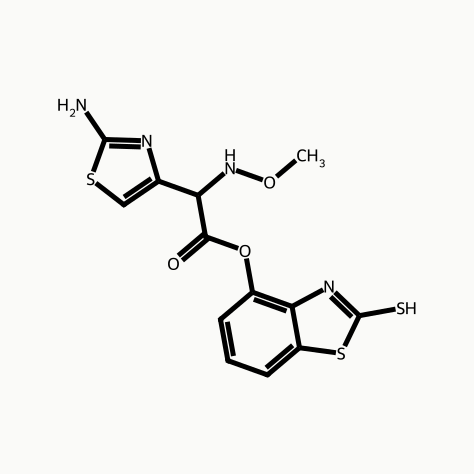 CONC(C(=O)Oc1cccc2sc(S)nc12)c1csc(N)n1